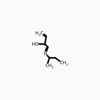 C=CC(O)C=NC(C)CC